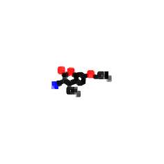 CCOc1ccc2c(C)c(C#N)c(=O)oc2c1